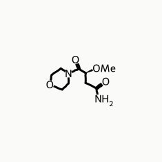 CO[C@@H](CC(N)=O)C(=O)N1CCOCC1